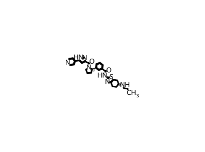 CCCN[C@H]1CCc2nc(NC(=O)c3cccc([C@H]4CCCN4C(=O)c4cc(-c5ccncc5)[nH]n4)c3)sc2C1